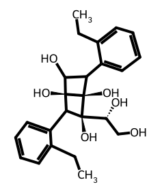 CCc1ccccc1C1C(O)[C@@]2(O)C(c3ccccc3CC)[C@@](O)([C@H](O)CO)[C@@]12O